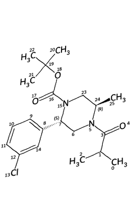 CC(C)C(=O)N1C[C@H](c2cccc(Cl)c2)N(C(=O)OC(C)(C)C)C[C@H]1C